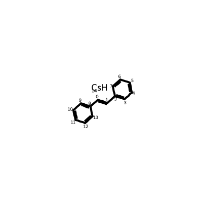 C(=Cc1ccccc1)c1ccccc1.[CsH]